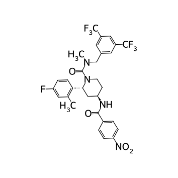 Cc1cc(F)ccc1[C@H]1C[C@H](NC(=O)c2ccc([N+](=O)[O-])cc2)CCN1C(=O)N(C)Cc1cc(C(F)(F)F)cc(C(F)(F)F)c1